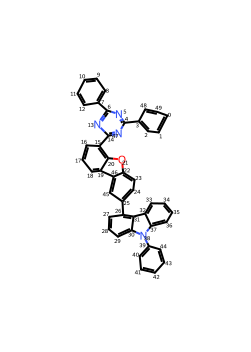 c1ccc(-c2nc(-c3ccccc3)nc(-c3cccc4c3oc3ccc(-c5cccc6c5c5ccccc5n6-c5ccccc5)cc34)n2)cc1